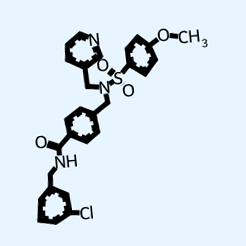 COc1ccc(S(=O)(=O)N(Cc2ccc(C(=O)NCc3cccc(Cl)c3)cc2)Cc2cccnc2)cc1